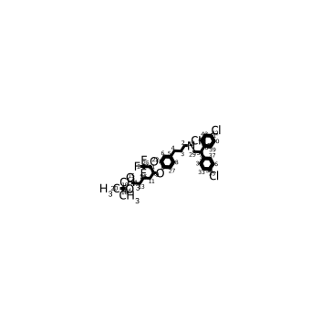 CN(CCCc1ccc(OC(CCCC(=O)OC(C)(C)C)C(=O)C(F)(F)F)cc1)CC(c1ccc(Cl)cc1)c1ccc(Cl)cc1